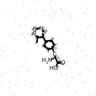 Cc1nnnnc1-c1ccc(C[C@H](N)C(=O)O)cc1